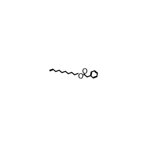 C=CCCCCCCCCOC(=O)Cc1ccccc1